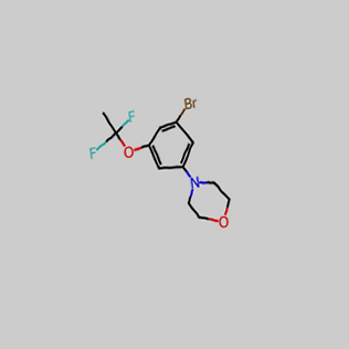 CC(F)(F)Oc1cc(Br)cc(N2CCOCC2)c1